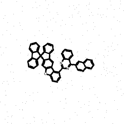 c1ccc2c(c1)-c1ccccc1C21c2ccccc2-c2cc3c(cc21)oc1cccc(-c2nc(-c4ccc5ccccc5c4)c4ccccc4n2)c13